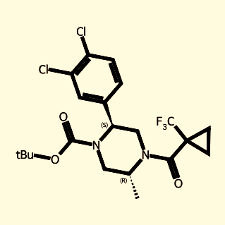 C[C@@H]1CN(C(=O)OC(C)(C)C)[C@@H](c2ccc(Cl)c(Cl)c2)CN1C(=O)C1(C(F)(F)F)CC1